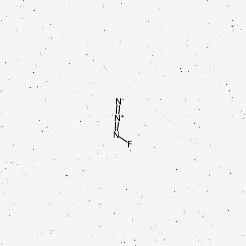 [N-]=[N+]=NF